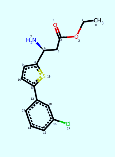 CCOC(=O)C[C@H](N)c1ccc(-c2cccc(Cl)c2)s1